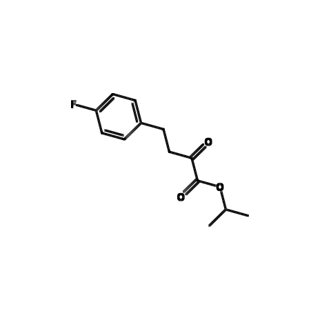 CC(C)OC(=O)C(=O)CCc1ccc(F)cc1